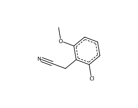 COc1cccc(Cl)c1CC#N